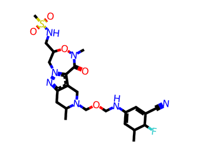 CC1C=C(NCOCN2Cc3c(nn4c3C(=O)N(C)OC(CNS(C)(=O)=O)C4)CC2C)C=C(C#N)C1F